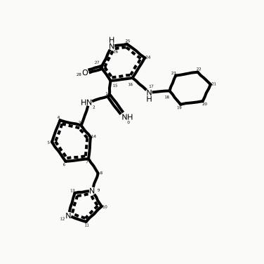 N=C(Nc1cccc(Cn2ccnc2)c1)c1c(NC2CCCCC2)cc[nH]c1=O